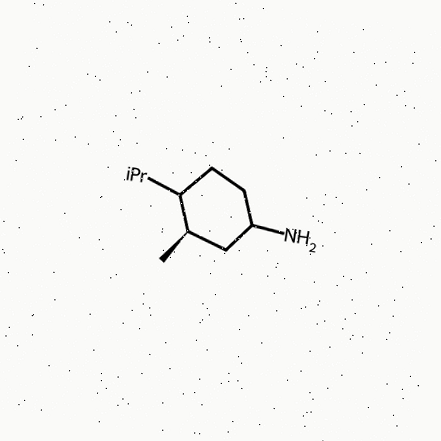 CC(C)C1CCC(N)C[C@H]1C